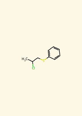 CC(Cl)CSc1ccccc1